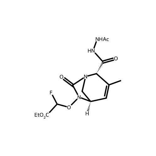 CCOC(=O)C(F)ON1C(=O)N2C[C@H]1C=C(C)[C@H]2C(=O)NNC(C)=O